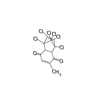 CC1=CC(=O)C2C(C1=O)C1(Cl)C(Cl)=C(Cl)C2(Cl)C1(Cl)Cl